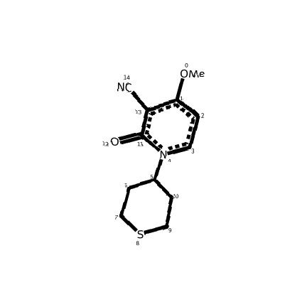 COc1ccn(C2CCSCC2)c(=O)c1C#N